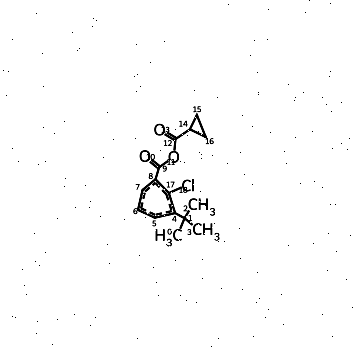 CC(C)(C)c1cccc(C(=O)OC(=O)C2CC2)c1Cl